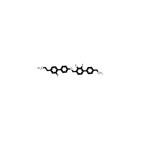 CCCc1ccc(-c2ccc(OCc3ccc(-c4ccc(CC)cc4)c(F)c3F)cc2)c(F)c1